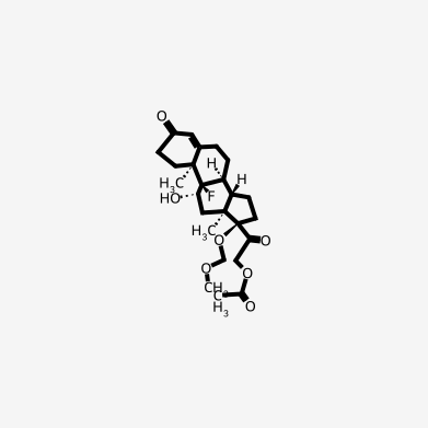 COCO[C@]1(C(=O)COC(C)=O)CC[C@H]2[C@@H]3CCC4=CC(=O)CC[C@]4(C)[C@@]3(F)[C@@H](O)C[C@@]21C